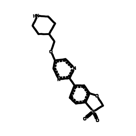 O=S1(=O)COc2cc(-c3ncc(OCC4CCNCC4)cn3)ccc21